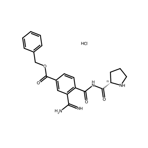 Cl.N=C(N)c1cc(C(=O)OCc2ccccc2)ccc1C(=O)NC(=O)[C@@H]1CCCN1